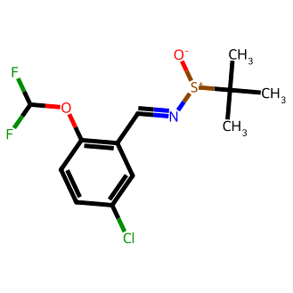 CC(C)(C)[S+]([O-])/N=C/c1cc(Cl)ccc1OC(F)F